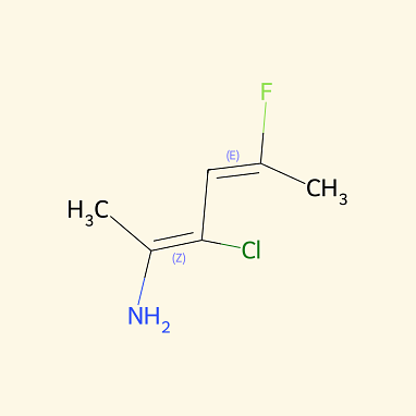 C/C(N)=C(Cl)\C=C(/C)F